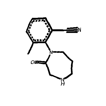 Cc1cccc(C#N)c1N1CCCNCC1=O